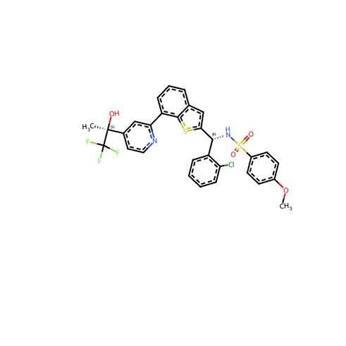 COc1ccc(S(=O)(=O)N[C@@H](c2cc3cccc(-c4cc([C@](C)(O)C(F)(F)F)ccn4)c3s2)c2ccccc2Cl)cc1